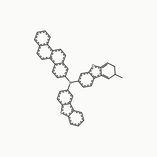 CC1C=c2c(oc3cc(N(c4ccc5c(ccc6c7ccccc7ccc56)c4)c4ccc5sc6ccccc6c5c4)ccc23)=CC1